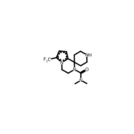 CN(C)C(=O)N1CCn2c(C(F)(F)F)ccc2C12CCNCC2